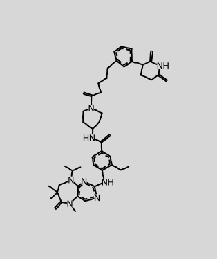 C=C1CCC(c2cccc(CCCCC(=C)N3CCC(NC(=C)c4ccc(Nc5ncc6c(n5)N(C(C)C)CC(C)(C)C(=C)N6C)c(CC)c4)CC3)c2)C(=C)N1